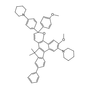 COc1ccc(C2(c3ccc(N4CCCCC4)cc3)C=Cc3c4c(c5cc(N6CCCCC6)c(OC)cc5c3O2)-c2ccc(-c3ccccc3)cc2C4(C)C)cc1